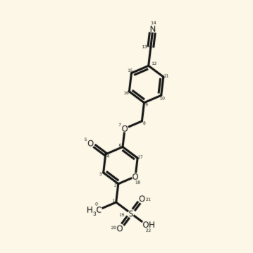 CC(c1cc(=O)c(OCc2ccc(C#N)cc2)co1)S(=O)(=O)O